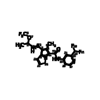 Cc1c(SNC(C)OC(F)(F)F)c2n(c1C(=O)Nc1ccnc(C(F)F)c1)CC=C2